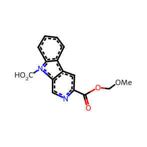 COCOC(=O)c1cc2c3ccccc3n(C(=O)O)c2cn1